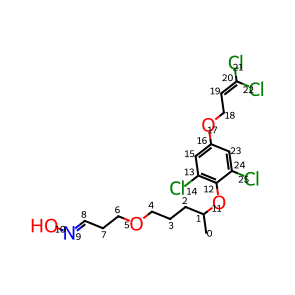 CC(CCCOCCC=NO)Oc1c(Cl)cc(OCC=C(Cl)Cl)cc1Cl